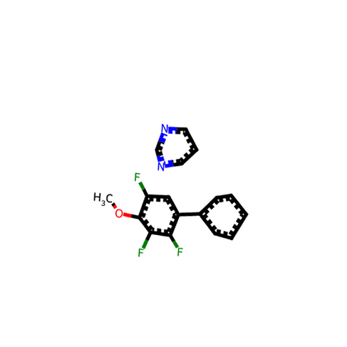 COc1c(F)cc(-c2ccccc2)c(F)c1F.c1cncnc1